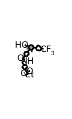 CCS(=O)(=O)c1ccc(CNC(=O)c2ccc(N3CC(c4ccc(C(F)(F)F)cc4)CC[C@H]3CO)cc2)cc1